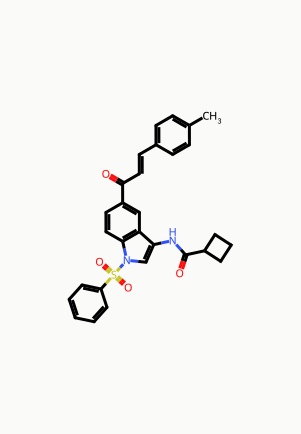 Cc1ccc(/C=C/C(=O)c2ccc3c(c2)c(NC(=O)C2CCC2)cn3S(=O)(=O)c2ccccc2)cc1